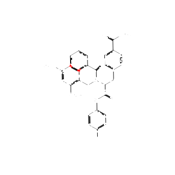 COC(=O)c1ccc(CC(C(=O)Nc2ccc(Cl)cc2)N(Cc2ccc(OC)cc2OC)C(=O)c2ccccc2)cc1